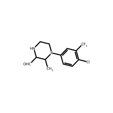 CC1C(C=O)NCCN1c1ccc(Cl)c(C(F)(F)F)c1